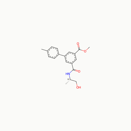 COC(=O)c1cc(C(=O)N[C@@H](C)CO)cc(-c2ccc(C)cc2)c1